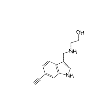 C#Cc1ccc2c(CNCCO)c[nH]c2c1